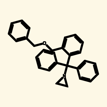 c1ccc(COCc2ccccc2C(c2ccccc2)(c2ccccc2)N2CC2)cc1